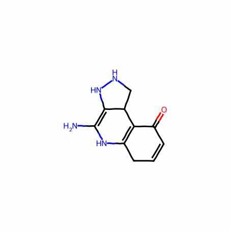 NC1=C2NNCC2C2=C(CC=CC2=O)N1